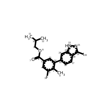 Cc1c(F)cc(C(=O)OCC(C)C)cc1-c1ccc2c(I)n[nH]c2c1